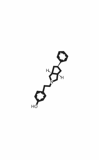 Oc1ccc(CCN2C[C@H]3C[C@@H](c4ccccc4)C[C@H]3C2)cc1